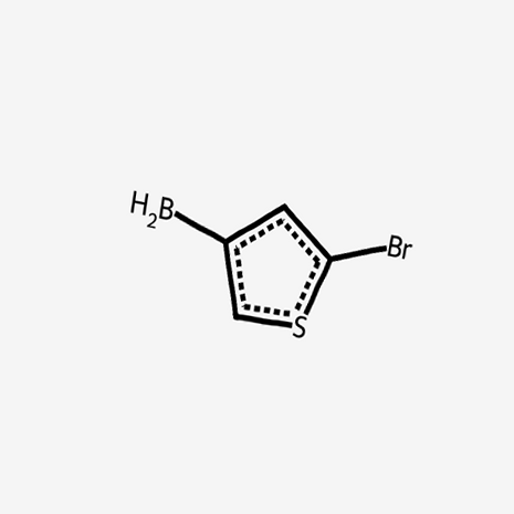 Bc1csc(Br)c1